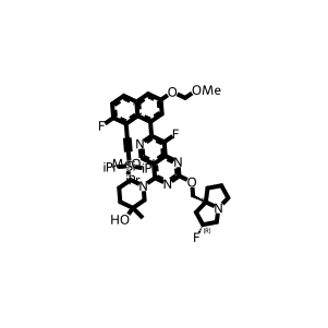 COCOc1cc(-c2nc(OC)c3c(N4CCCC(C)(O)C4)nc(OC[C@@]45CCCN4C[C@H](F)C5)nc3c2F)c2c(C#C[Si](C(C)C)(C(C)C)C(C)C)c(F)ccc2c1